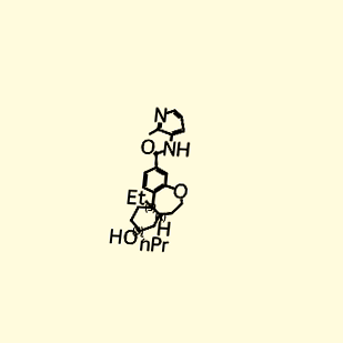 CCC[C@]1(O)CC[C@]2(CC)c3ccc(C(=O)Nc4cccnc4C)cc3OCC[C@@H]2C1